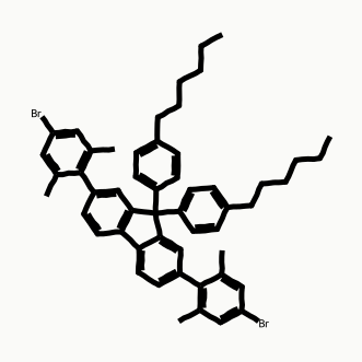 CCCCCCc1ccc(C2(c3ccc(CCCCCC)cc3)c3cc(-c4c(C)cc(Br)cc4C)ccc3-c3ccc(-c4c(C)cc(Br)cc4C)cc32)cc1